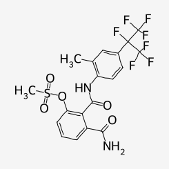 Cc1cc(C(F)(C(F)(F)F)C(F)(F)F)ccc1NC(=O)c1c(OS(C)(=O)=O)cccc1C(N)=O